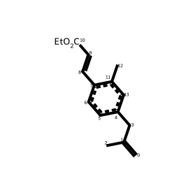 C=C(C)Cc1ccc(C=CC(=O)OCC)c(C)c1